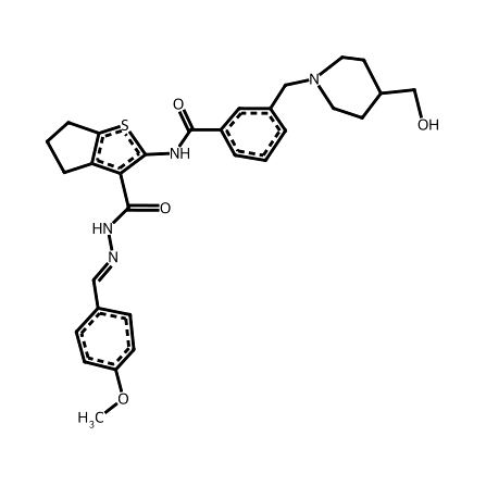 COc1ccc(C=NNC(=O)c2c(NC(=O)c3cccc(CN4CCC(CO)CC4)c3)sc3c2CCC3)cc1